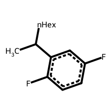 CCCCCCC(C)c1cc(F)ccc1F